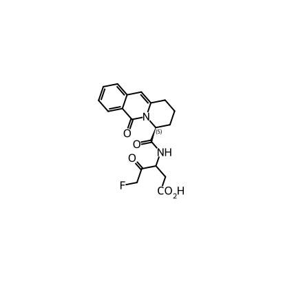 O=C(O)CC(NC(=O)[C@@H]1CCCc2cc3ccccc3c(=O)n21)C(=O)CF